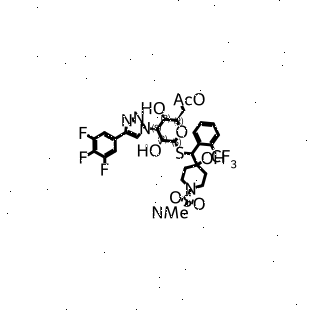 CNS(=O)(=O)N1CCC(O)(C(S[C@@H]2O[C@H](COC(C)=O)[C@H](O)[C@H](n3cc(-c4cc(F)c(F)c(F)c4)nn3)[C@H]2O)c2ccccc2C(F)(F)F)CC1